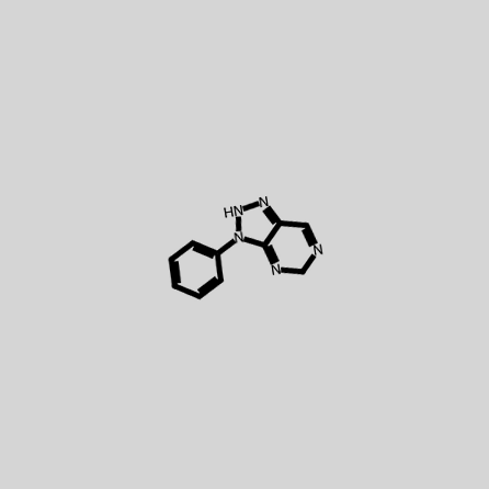 C1=NCN=C2C1=NNN2c1ccccc1